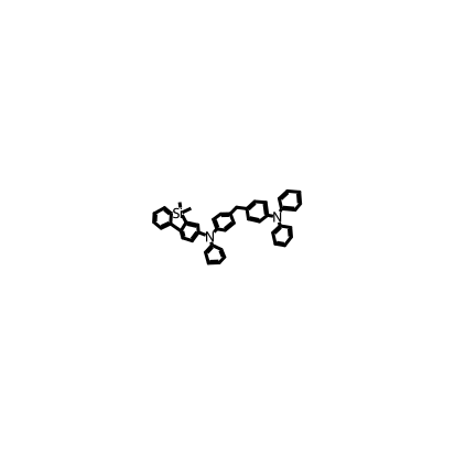 C[Si]1(C)c2ccccc2-c2ccc(N(c3ccccc3)c3ccc(Cc4ccc(N(c5ccccc5)c5ccccc5)cc4)cc3)cc21